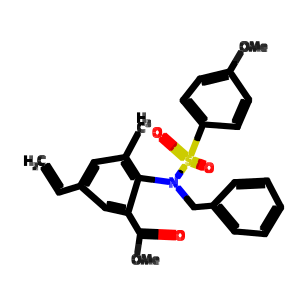 C=Cc1cc(C)c(N(Cc2ccccc2)S(=O)(=O)c2ccc(OC)cc2)c(C(=O)OC)c1